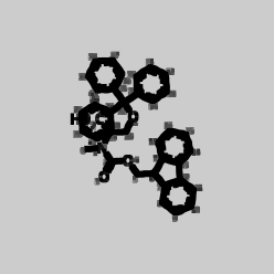 CN(C(=O)OCC1c2ccccc2-c2ccccc21)C(COC(c1ccccc1)(c1ccccc1)c1ccccc1)C(=O)O